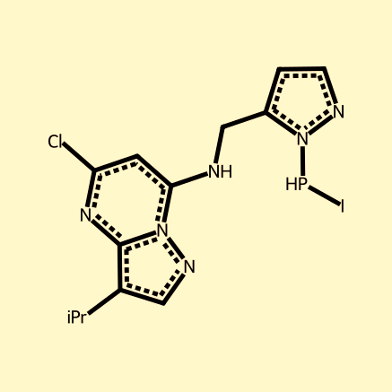 CC(C)c1cnn2c(NCc3ccnn3PI)cc(Cl)nc12